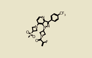 C=C(F)C(=O)N1CC(n2nc(-c3ccc(C(F)(F)F)cc3)c3nccc(N4CC(S(C)(=O)=O)C4)c32)C1